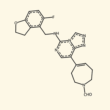 O=CN1CCC=C(c2cnc(NCc3c(F)ccc4c3CCO4)n3cnnc23)CC1